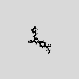 CCOC(=O)c1ccc(-n2cc(C#N)c(CCc3ccco3)c2)cc1